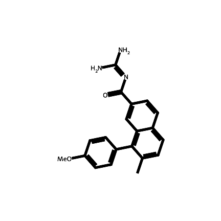 COc1ccc(-c2c(C)ccc3ccc(C(=O)N=C(N)N)cc23)cc1